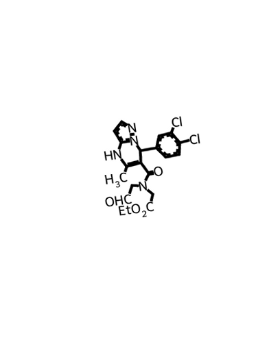 CCOC(=O)CN(CC=O)C(=O)C1=C(C)Nc2ccnn2C1c1ccc(Cl)c(Cl)c1